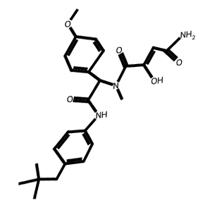 COc1ccc(C(C(=O)Nc2ccc(CC(C)(C)C)cc2)N(C)C(=O)/C(O)=C/C(N)=O)cc1